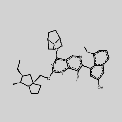 CCc1cccc2cc(O)cc(-c3ncc4c(N5CC6CCC(C5)N6)nc(OC[C@@]56CCCN5[C@@H](C)[C@@H](CC)C6)nc4c3F)c12